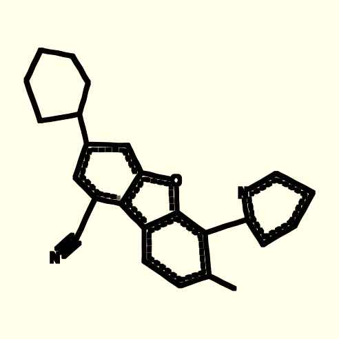 Cc1ccc2c(oc3cc(C4CCCCC4)cc(C#N)c32)c1-c1ccccn1